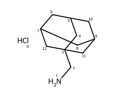 Cl.NCC12CC3CC(CC(C3)C1)C2